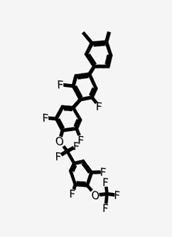 Cc1ccc(-c2cc(F)c(-c3cc(F)c(OC(F)(F)c4cc(F)c(OC(F)(F)F)c(F)c4)c(F)c3)c(F)c2)cc1C